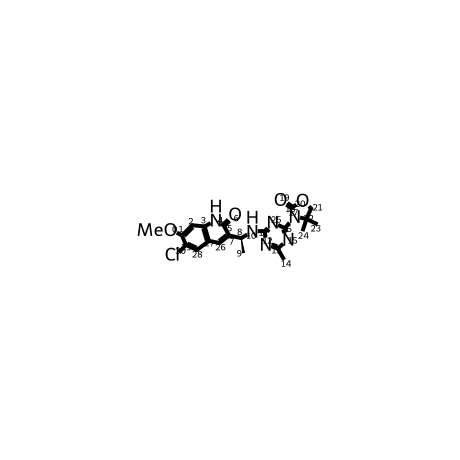 COc1cc2[nH]c(=O)c([C@H](C)Nc3nc(C)nc(N4C(=O)OCC4(C)C)n3)cc2cc1Cl